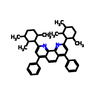 CC1CCC(C)C(c2cc(-c3ccccc3)c3ccc4c(-c5ccccc5)cc(C5C(C)CCC(C)C5C)nc4c3n2)C1C